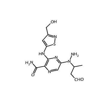 CC(CC=O)N(N)c1cnc(C(N)=O)c(Nc2cc(CO)ns2)n1